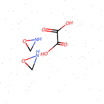 C1NO1.C1NO1.O=C(O)C(=O)O